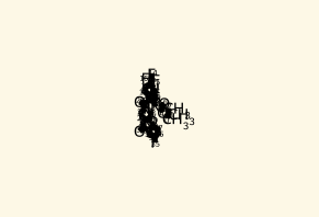 CC(C)(C)OC(=O)Nc1sc2nc(C(F)(F)F)ccc2c1C(=O)N1CCC2(CC1)CC(=O)c1cc(F)ccc1O2